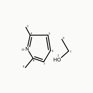 CCO.Cc1cccc(C)n1